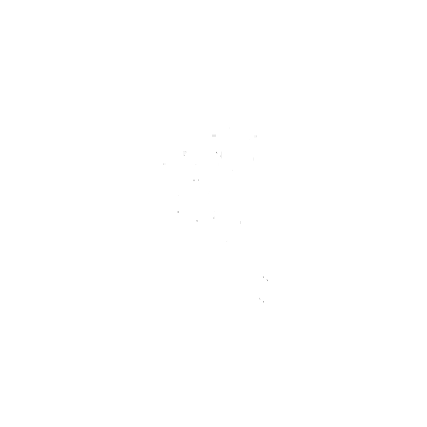 N=NCCCOc1ccc2c(c1)C(N1CCCCC1)CCO2